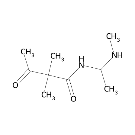 CNC(C)NC(=O)C(C)(C)C(C)=O